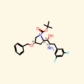 CC(C)(C)OC(=O)N1C[C@H](OCc2ccccc2)C[C@@H]1[C@@H](O)[C@@H](N)Cc1cc(F)cc(F)c1